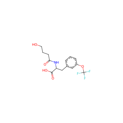 O=C(CCCO)NC(Cc1cccc(OC(F)(F)F)c1)C(=O)O